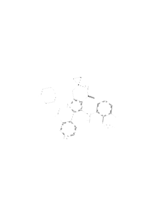 COc1c(Cl)cccc1Nc1c(-c2ccncc2OC[C@@H]2COCCO2)[nH]c2c1C(=O)NC1(CC1)C2